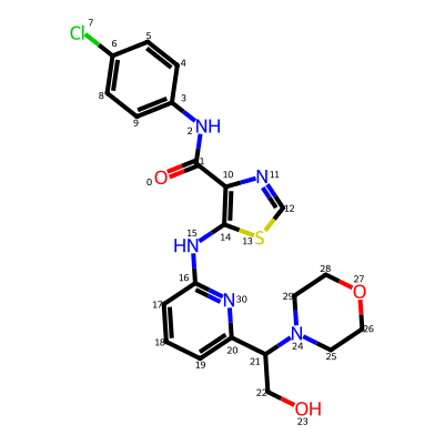 O=C(Nc1ccc(Cl)cc1)c1ncsc1Nc1cccc(C(CO)N2CCOCC2)n1